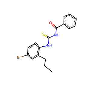 CCCc1cc(Br)ccc1NC(=S)NC(=O)c1ccccc1